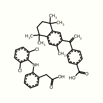 C=C(c1ccc(C(=O)O)cc1)c1cc2c(cc1C)C(C)(C)CCC2(C)C.O=C(O)Cc1ccccc1Nc1c(Cl)cccc1Cl